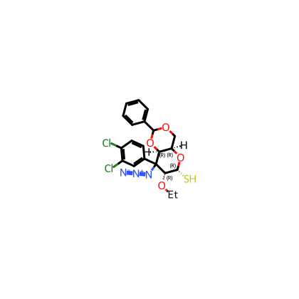 CCO[C@H]1[C@@H](S)O[C@@H]2COC(c3ccccc3)O[C@@H]2C1(N=[N+]=[N-])c1ccc(Cl)c(Cl)c1